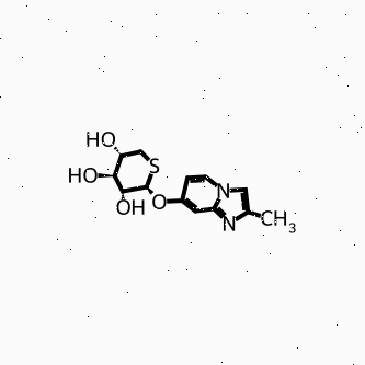 Cc1cn2ccc(O[C@@H]3SC[C@@H](O)[C@H](O)[C@H]3O)cc2n1